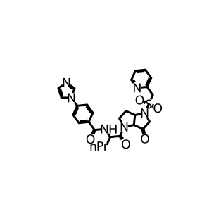 CCCC(NC(=O)c1ccc(-n2ccnc2)cc1)C(=O)N1CCC2C1C(=O)CN2S(=O)(=O)Cc1ccccn1